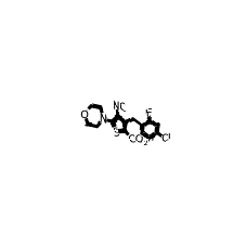 [C-]#[N+]c1c(N2CCOCC2)sc(C(=O)O)c1Cc1ccc(Cl)cc1F